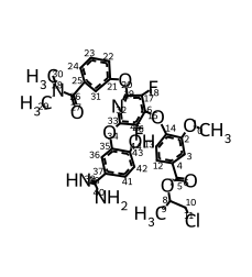 COc1cc(C(=O)OC(C)CCl)ccc1Oc1c(F)c(Oc2cccc(C(=O)N(C)C)c2)nc(Oc2cc(C(=N)N)ccc2O)c1F